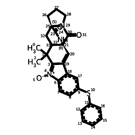 CC1(C)C2=[N+]([O-])c3ccc(Sc4ccccc4)cc3C2=C[C@@]23NC(=O)[C@]4(CCCN4C2=O)CC13